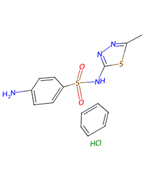 Cc1nnc(NS(=O)(=O)c2ccc(N)cc2)s1.Cl.c1ccccc1